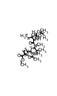 CCOC(=O)c1csc([C@@H](C[C@H](C(C)C)N(C)C(=O)[C@@H](NC(=O)OC(C)(C)C)[C@@H](C)CC)NC(C)=O)n1